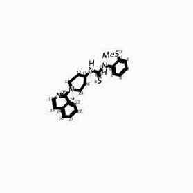 CSc1ccccc1NC(=S)NC1CCN(c2nccc3ccccc23)CC1